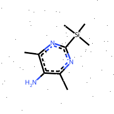 Cc1nc([Si](C)(C)C)nc(C)c1N